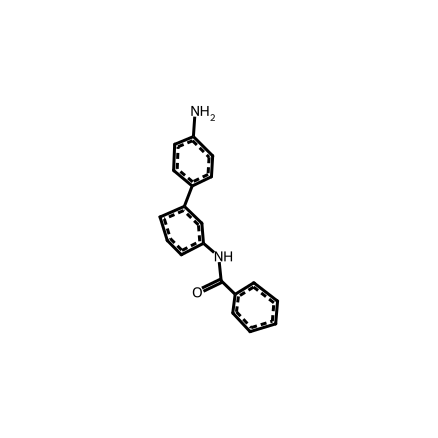 Nc1ccc(-c2cccc(NC(=O)c3ccccc3)c2)cc1